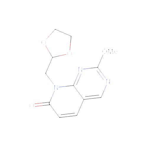 COc1ncc2ccc(=O)n(CC3OCCO3)c2n1